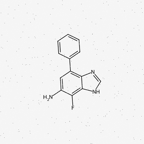 Nc1cc(-c2ccccc2)c2nc[nH]c2c1F